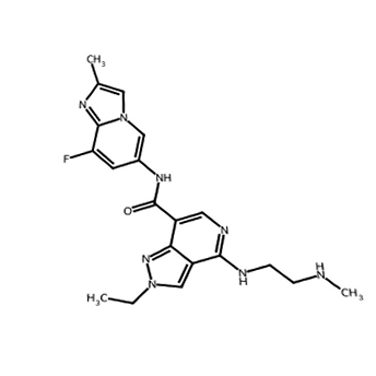 CCn1cc2c(NCCNC)ncc(C(=O)Nc3cc(F)c4nc(C)cn4c3)c2n1